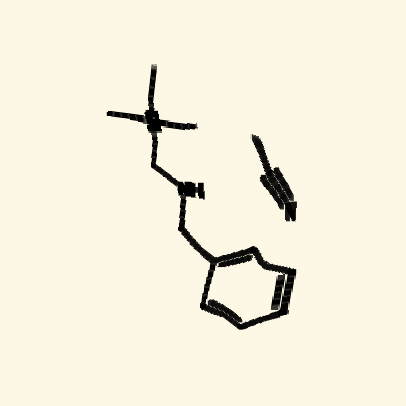 CC#N.C[Si](C)(C)CNCc1ccccc1